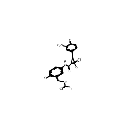 O=C(Nc1ccc(Cl)c(CNC(=O)C(F)(F)F)c1)C1C(c2ccc(F)c(C(F)(F)F)c2)C1(Cl)Cl